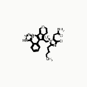 CCCCC1=NC(Cl)=C(CC(N)=O)[N+]1(C)Cc1c2ccocc-2c(Br)c1-c1ccccc1-c1nnn[nH]1